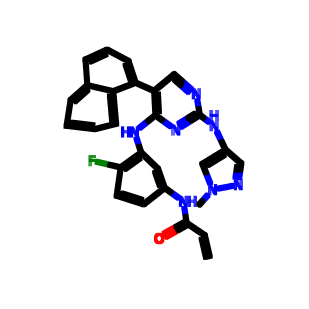 C=CC(=O)Nc1ccc(F)c(Nc2nc(Nc3cnn(C)c3)ncc2-c2cccc3ccccc23)c1